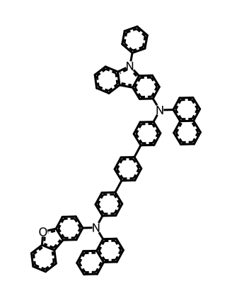 c1ccc(-n2c3ccccc3c3cc(N(c4ccc(-c5ccc(-c6ccc(N(c7ccc8oc9ccccc9c8c7)c7cccc8ccccc78)cc6)cc5)cc4)c4cccc5ccccc45)ccc32)cc1